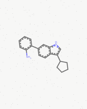 Nc1ccccc1-c1ccc2c(C3CCCC3)c[nH]c2c1